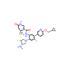 CN(C)C1CN(c2cc(F)c(-c3ccc(OCC4CC4)nc3)cc2NC(=O)c2cn(C)c(=O)cc2C(F)(F)F)CC1F